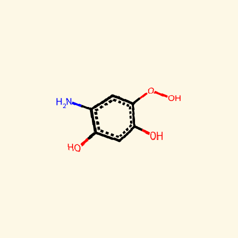 Nc1cc(OO)c(O)cc1O